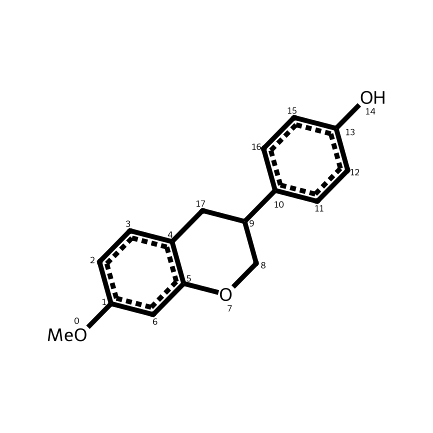 COc1ccc2c(c1)OCC(c1ccc(O)cc1)C2